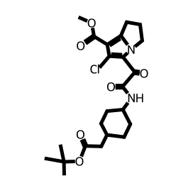 COC(=O)c1c(Cl)c(C(=O)C(=O)NC2CCC(CC(=O)OC(C)(C)C)CC2)n2c1CCC2